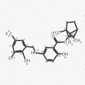 CC1(C)C2CCC1(C)C(OC(=O)c1cc(NCc3cc(C(F)(F)F)cc(Cl)c3O)ccc1O)C2